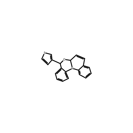 C1=CC2OC(c3ccsc3)c3ccccc3N2c2ccccc21